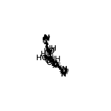 O=C(CNCCCn1ccnc1)NC[C@H](NC(=O)c1ccc(C#Cc2cnccn2)cc1)C(=O)NO